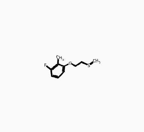 CSCCOc1cccc(F)c1C